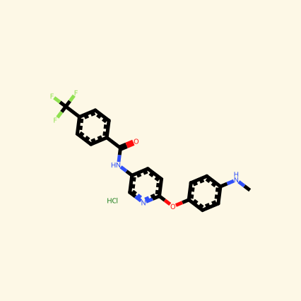 CNc1ccc(Oc2ccc(NC(=O)c3ccc(C(F)(F)F)cc3)cn2)cc1.Cl